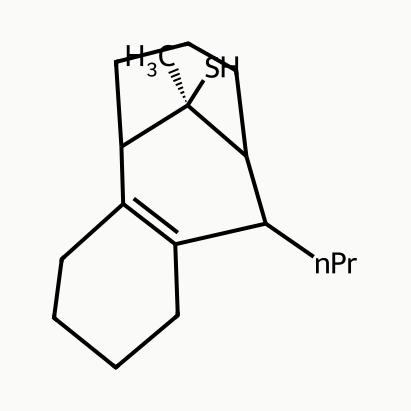 CCCC1C2=C(CCCC2)C2CCCC1[C@]2(C)S